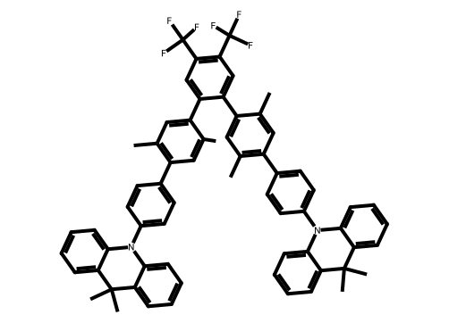 Cc1cc(-c2cc(C(F)(F)F)c(C(F)(F)F)cc2-c2cc(C)c(-c3ccc(N4c5ccccc5C(C)(C)c5ccccc54)cc3)cc2C)c(C)cc1-c1ccc(N2c3ccccc3C(C)(C)c3ccccc32)cc1